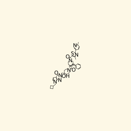 Cc1ccc(-c2nc(C)c(C(=O)N3CC[C@@H](C(=O)N4CCC(O)(Cn5cnc6c(ccn6CC6CCC6)c5=O)CC4)[C@H](c4ccccc4)C3)s2)cn1